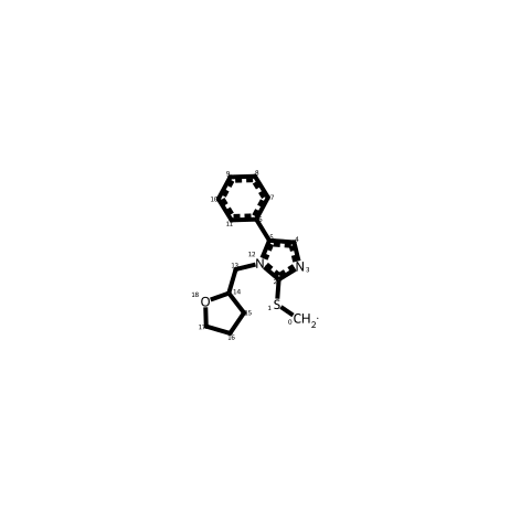 [CH2]Sc1ncc(-c2ccccc2)n1CC1CCCO1